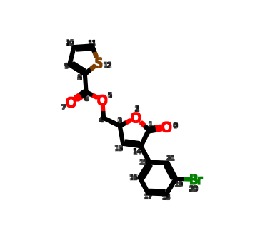 O=C1OC(COC(=O)c2cccs2)C=C1c1cccc(Br)c1